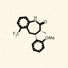 COc1ccccc1[C@@H]1Cc2c(cccc2C(F)(F)F)NC(=O)[C@@H]1C